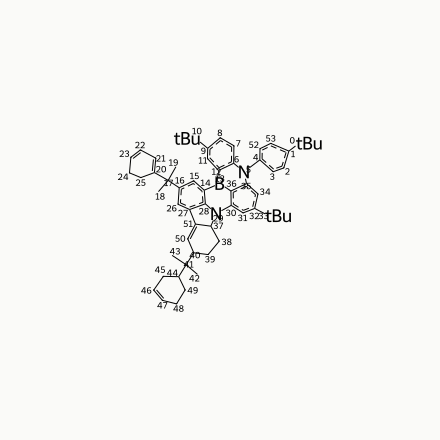 CC(C)(C)c1ccc(N2c3ccc(C(C)(C)C)cc3B3c4cc(C(C)(C)C5=CC=CCC5)cc5c4N(c4cc(C(C)(C)C)cc2c43)C2CCC(C(C)(C)C3CC=CCC3)C=C52)cc1